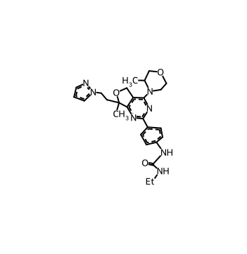 CCNC(=O)Nc1ccc(-c2nc(N3CCOCC3C)c3c(n2)C(C)(CCn2cccn2)OC3)cc1